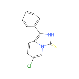 S=c1[nH]c(-c2ccccc2)c2ccc(Cl)cn12